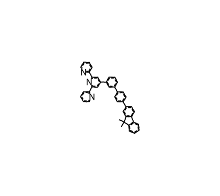 CC1(C)c2ccccc2-c2ccc(-c3ccc(-c4cccc(-c5cc(-c6ccccn6)nc(-c6ccccn6)c5)c4)cc3)cc21